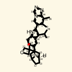 Cc1c(-c2[nH]c3ccc(C4CC5CC[C@H](C4)N5CC4(C)COC4)cc3c2C(C)C)cn2cnnc2c1C